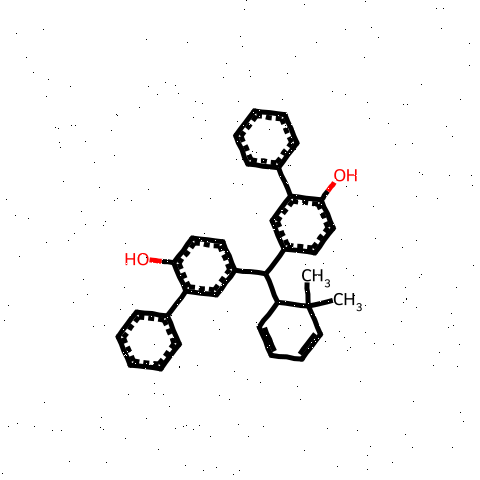 CC1(C)C=CC=CC1C(c1ccc(O)c(-c2ccccc2)c1)c1ccc(O)c(-c2ccccc2)c1